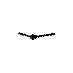 CCCCCCCCCCCCCCCC[n+]1ccn(CCCCCCCCCCC)c1CC